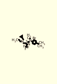 CCCN(Cc1sc(N(CC)c2ccc(C(C)C)cc2Br)nc1C(F)(F)F)CC1CC1